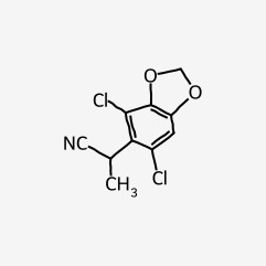 CC(C#N)c1c(Cl)cc2c(c1Cl)OCO2